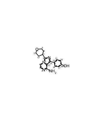 Nc1nccn2c(C3CCOCC3)nc(-c3ccc(O)cc3)c12